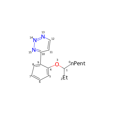 CCCCCC(CC)Oc1ccccc1-c1ccnnn1